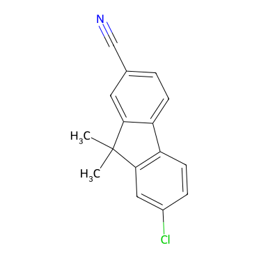 CC1(C)c2cc(Cl)ccc2-c2ccc(C#N)cc21